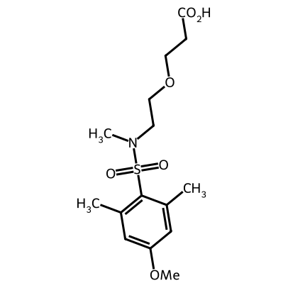 COc1cc(C)c(S(=O)(=O)N(C)CCOCCC(=O)O)c(C)c1